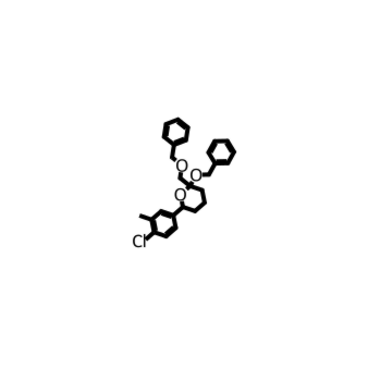 Cc1cc(C2CCCC(COCc3ccccc3)(OCc3ccccc3)O2)ccc1Cl